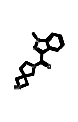 Cn1nc(C(=O)N2CCC3(CNC3)C2)c2ccccc21